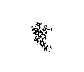 CN(C)c1ccc(OC(F)(F)F)c(-c2nc3nc(C(=O)O)nc(NCCC4CCC4)c3n2Cc2ccc(C(F)(F)F)cc2)c1